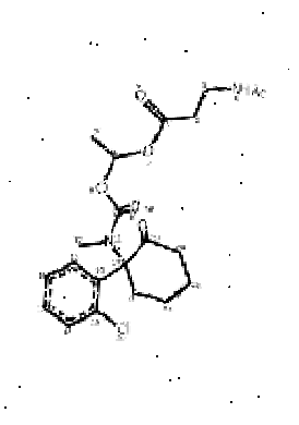 CC(=O)NCCC(=O)OC(C)OC(=O)N(C)[C@]1(c2ccccc2Cl)CCCCC1=O